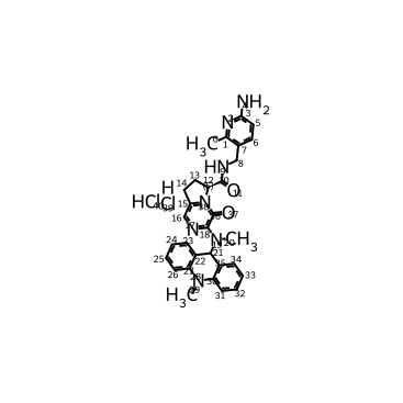 Cc1nc(N)ccc1CNC(=O)[C@@H]1CCc2cnc(N(C)C3c4ccccc4N(C)c4ccccc43)c(=O)n21.Cl.Cl